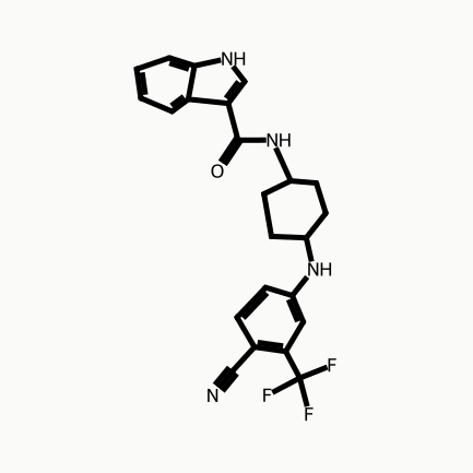 N#Cc1ccc(NC2CCC(NC(=O)c3c[nH]c4ccccc34)CC2)cc1C(F)(F)F